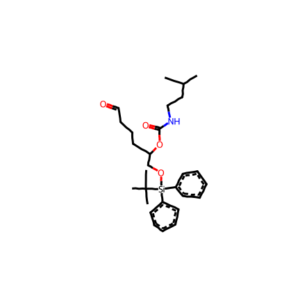 CC(C)CCNC(=O)OC(CCCC=O)CO[Si](c1ccccc1)(c1ccccc1)C(C)(C)C